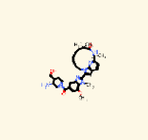 COc1cc(C(=O)N2CCC(CO)[C@H](N)C2)cc2nc(-c3cc4ccc5nc4n3CCCCCCC(C)(C)C(=O)N[C@@H]5C)n(C)c12